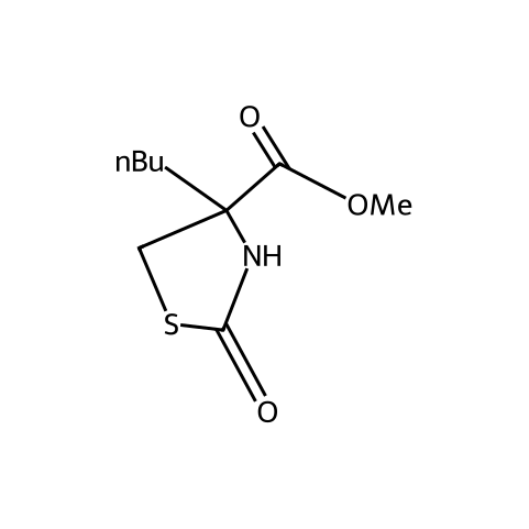 CCCCC1(C(=O)OC)CSC(=O)N1